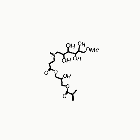 C=C(C)C(=O)OCC(O)COC(=O)CCN(C)CC(O)C(O)C(O)C(O)COC